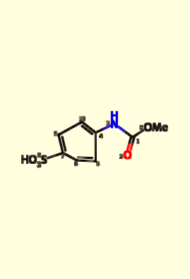 COC(=O)Nc1ccc(S(=O)(=O)O)cc1